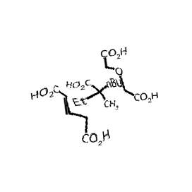 CCCCC(C)(CC)C(=O)O.O=C(O)/C=C/CC(=O)O.O=C(O)COCC(=O)O